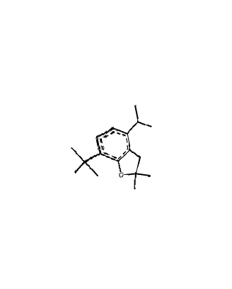 CC(C)c1ccc(C(C)(C)C)c2c1CC(C)(C)O2